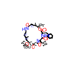 CC1=C\C(O[Si](C)(C)C(C)(C)C)CC(=O)Cc2nc(c([Si](C)(C)C)o2)C(=O)N[C@H](Cc2ccccc2)C(=O)O[C@H](C(C)C)[C@H](C)/C=C/C(=O)NC\C=C\1